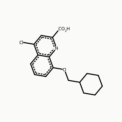 O=C(O)c1cc(Cl)c2cccc(OCC3CCCCC3)c2n1